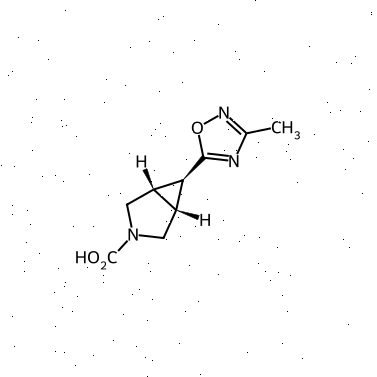 Cc1noc([C@H]2[C@@H]3CN(C(=O)O)C[C@@H]32)n1